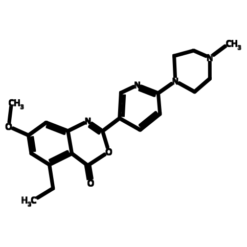 CCc1cc(OC)cc2nc(-c3ccc(N4CCN(C)CC4)nc3)oc(=O)c12